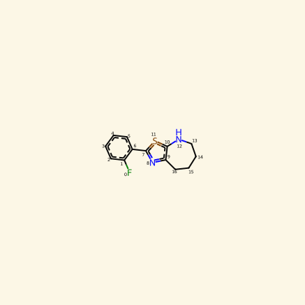 Fc1ccccc1-c1nc2c(s1)NCCCC2